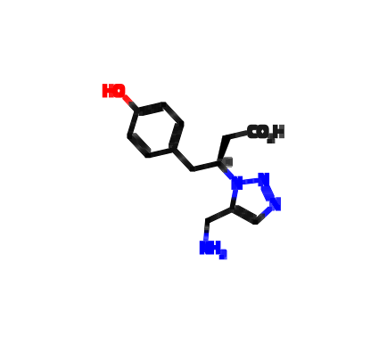 NCc1cnnn1[C@H](CC(=O)O)Cc1ccc(O)cc1